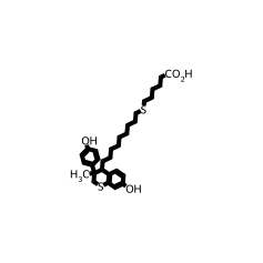 CC1(c2ccc(O)cc2)CSc2cc(O)ccc2C1CCCCCCCCCSCCCCCC(=O)O